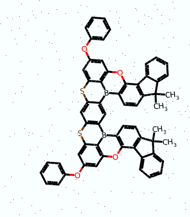 CC1(C)c2ccccc2-c2c1ccc1c2Oc2cc(Oc3ccccc3)cc3c2B1c1cc2c(cc1S3)Sc1cc(Oc3ccccc3)cc3c1B2c1ccc2c(c1O3)-c1ccccc1C2(C)C